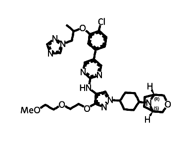 COCCOCCOc1nn(C2CCC(N3[C@@H]4CC[C@H]3COC4)CC2)cc1Nc1ncc(-c2ccc(Cl)c(OC(C)Cn3cncn3)c2)cn1